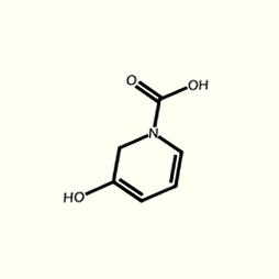 O=C(O)N1C=CC=C(O)C1